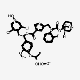 CC(C)Oc1cc([C@H](Cc2c(Cl)c[n+](O)cc2Cl)OC(=O)c2csc(CN(C(=O)O[C@H]3CN4CCC3CC4)c3ccccc3F)c2)ccc1OC(F)F.O=C[O-]